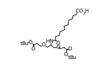 CC(C)(C)OC(=O)CCOCC(COCCC(=O)OC(C)(C)C)NC(=O)CCCCCCCCCCC(=O)O